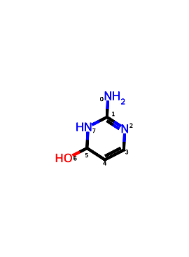 NC1=NC=CC(O)N1